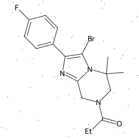 CCC(=O)N1Cc2nc(-c3ccc(F)cc3)c(Br)n2C(C)(C)C1